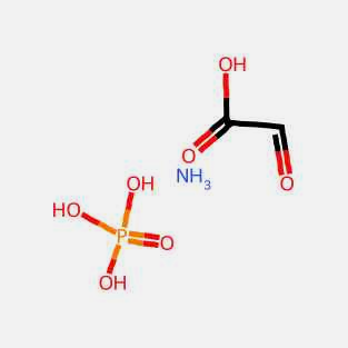 N.O=CC(=O)O.O=P(O)(O)O